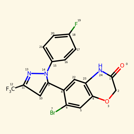 O=C1COc2cc(Br)c(-c3cc(C(F)(F)F)nn3-c3ccc(F)cc3)cc2N1